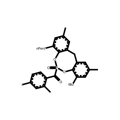 CCCCCc1cc(C)cc2c1OP(=O)(C(=O)c1ccc(I)cc1C)Oc1c(cc(C)cc1C(C)(C)C)C2